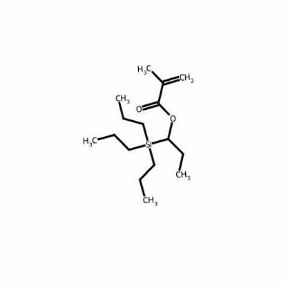 C=C(C)C(=O)OC(CC)[Si](CCC)(CCC)CCC